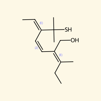 C\C=C(/C=C\C(CO)=C(\C)CC)C(C)(C)S